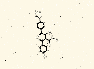 CC(C(=O)c1ccc(OCC(=O)O)cc1)C(C(=O)OC(C)(C)C)C(=O)c1ccc(C#N)cc1